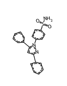 NS(=O)(=O)c1ccc(-n2nc(-c3ccccc3)cc2-c2ccccc2)cc1